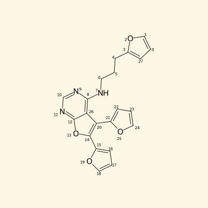 c1coc(CCCNc2ncnc3oc(-c4ccco4)c(-c4ccco4)c23)c1